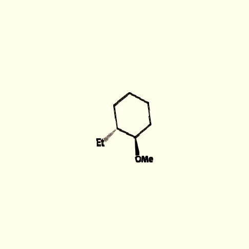 CC[C@@H]1CCCC[C@H]1OC